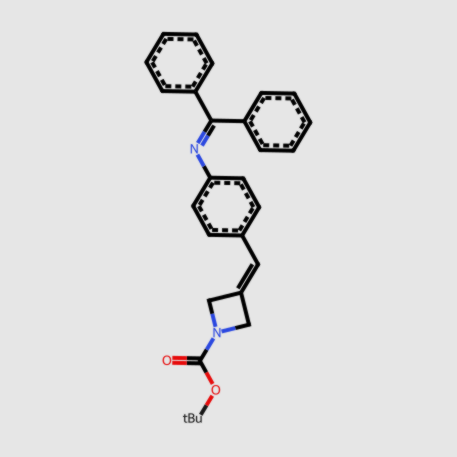 CC(C)(C)OC(=O)N1CC(=Cc2ccc(N=C(c3ccccc3)c3ccccc3)cc2)C1